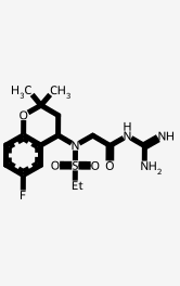 CCS(=O)(=O)N(CC(=O)NC(=N)N)C1CC(C)(C)Oc2ccc(F)cc21